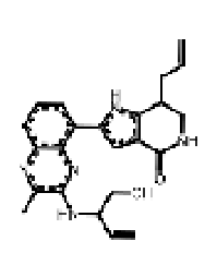 C=CCC1CNC(=O)c2cc(-c3cccc4nc(C)c(NC(C=C)CO)nc34)[nH]c21